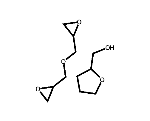 C(OCC1CO1)C1CO1.OCC1CCCO1